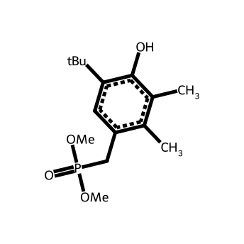 COP(=O)(Cc1cc(C(C)(C)C)c(O)c(C)c1C)OC